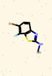 CCCNc1nc2ccc(Br)c(F)c2s1